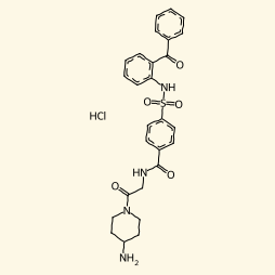 Cl.NC1CCN(C(=O)CNC(=O)c2ccc(S(=O)(=O)Nc3ccccc3C(=O)c3ccccc3)cc2)CC1